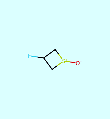 [O-][S+]1CC(F)C1